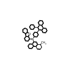 CC1CC=Cc2c1cc(N(c1ccc(-c3c(-c4ccccc4)c4ccccc4c4ccccc34)cc1)c1cccc3c1oc1ccccc13)c1ccccc21